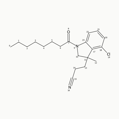 CCCCCCCC(=O)N1CC(C)(CCC#N)c2c(Cl)cccc21